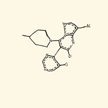 CC(=O)c1cnn2c(N3CCC(C)CC3)c(-c3ncncc3Cl)c(Cl)nc12